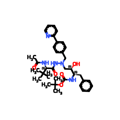 CC(=O)N[C@H](C(=O)NN(Cc1ccc(-c2ccccn2)cc1)C[C@H](O)[C@H](Cc1ccccc1)NC(=O)OC(C)(C)C)C(C)(C)C